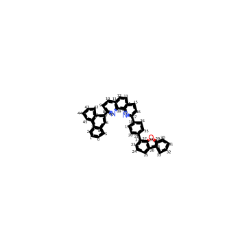 c1ccc2c(c1)cc(-c1ccc3ccc4ccc(-c5ccc(-c6cccc7c6oc6ccccc67)cc5)nc4c3n1)c1ccccc12